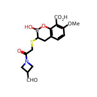 COc1ccc2c(c1C(=O)O)OB(O)C(SCC(=O)N1CC(C=O)C1)C2